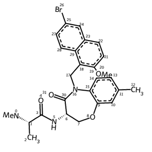 CN[C@@H](C)C(=O)N[C@H]1COc2cc(C)ccc2N(Cc2c(OC)ccc3cc(Br)ccc23)C1=O